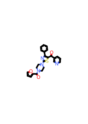 O=C(c1cccnc1)c1sc(N2CCN(C(=O)c3ccco3)CC2)nc1-c1ccccc1